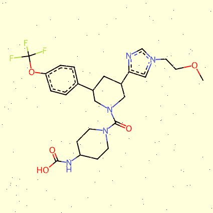 COCCn1cnc(C2CC(c3ccc(OC(F)(F)F)cc3)CN(C(=O)N3CCC(NC(=O)O)CC3)C2)c1